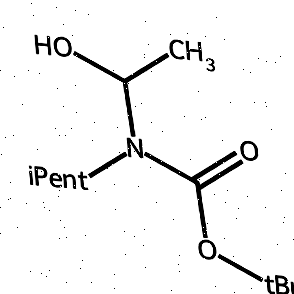 CCCC(C)N(C(=O)OC(C)(C)C)C(C)O